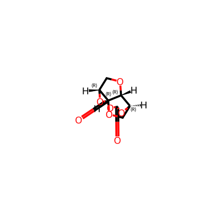 O=C1OC(=O)O[C@@H]2CO[C@H]3[C@@H]2OC[C@H]3O1